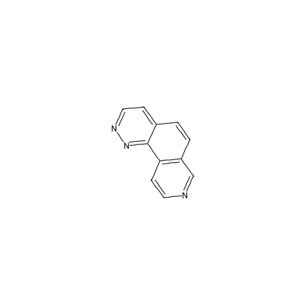 c1cc2c(ccc3ccnnc32)cn1